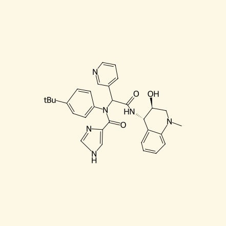 CN1C[C@H](O)[C@@H](NC(=O)C(c2cccnc2)N(C(=O)c2c[nH]cn2)c2ccc(C(C)(C)C)cc2)c2ccccc21